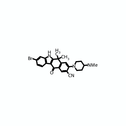 CNC1CCN(c2cc3c(cc2C#N)C(=O)c2c([nH]c4cc(Br)ccc24)C3(C)C)CC1